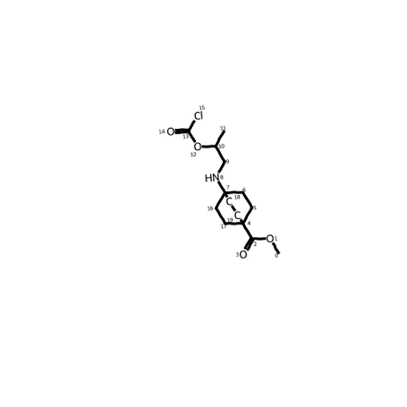 COC(=O)C12CCC(NCC(C)OC(=O)Cl)(CC1)CC2